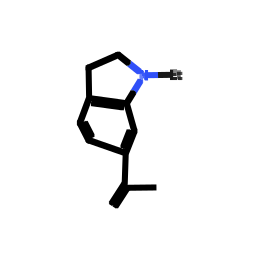 C=C(C)c1ccc2c(c1)N(CC)CC2